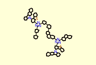 c1ccc(-c2ccc(-c3nc(-c4cccc(-c5cccc(-c6ccc7ccc8cc(-c9nc(-c%10ccc%11c(ccc%12ccccc%12%11)c%10)nc(-c%10ccc(-n%11c%12ccccc%12c%12cc%13ccccc%13cc%12%11)c%11c%10sc%10ccccc%10%11)n9)ccc8c7c6)c5)c4)nc(-c4ccc(-n5c6ccccc6c6cc7ccccc7cc65)c5c4sc4ccccc45)n3)cc2)cc1